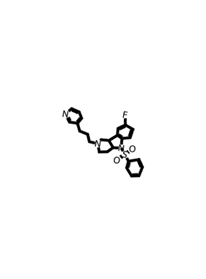 O=S(=O)(c1ccccc1)N1c2ccc(F)cc2C2CN(CCCc3cccnc3)CCC21